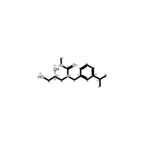 COC(=O)N(Cc1cccc(C(C)C)c1)C[C@@H](O)CO